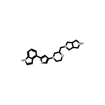 c1cc(-c2cc(N3CCOC(CN4CC5CNCC5C4)C3)cs2)c2cc[nH]c2c1